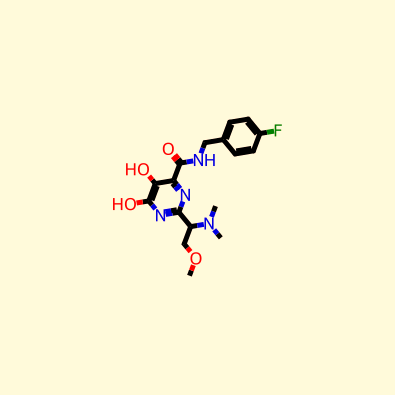 COCC(c1nc(O)c(O)c(C(=O)NCc2ccc(F)cc2)n1)N(C)C